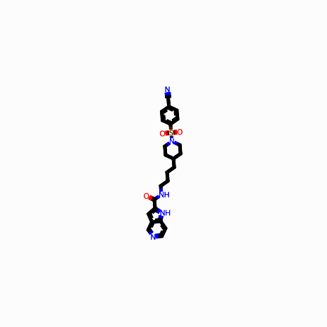 N#Cc1ccc(S(=O)(=O)N2CCC(CCCCNC(=O)c3cc4cnccc4[nH]3)CC2)cc1